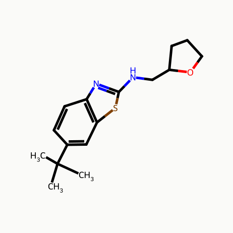 CC(C)(C)c1ccc2nc(NCC3CCCO3)sc2c1